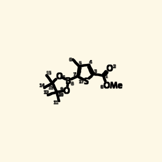 COC(=O)c1cc(C)c(B2OC(C)(C)C(C)(C)O2)s1